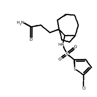 NC(=O)CCC12CCCCC(CC1)C2NS(=O)(=O)c1ccc(Cl)s1